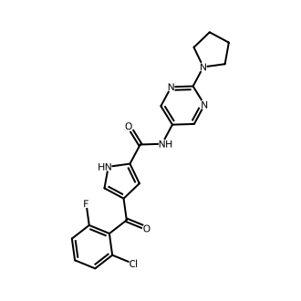 O=C(Nc1cnc(N2CCCC2)nc1)c1cc(C(=O)c2c(F)cccc2Cl)c[nH]1